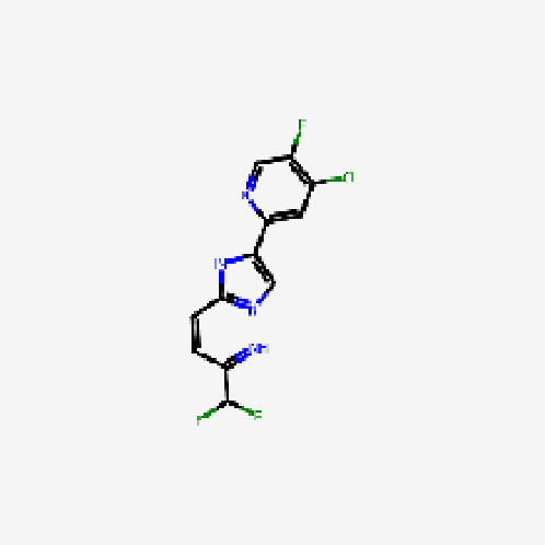 N=C(/C=C\c1ncc(-c2cc(Cl)c(F)cn2)[nH]1)C(F)F